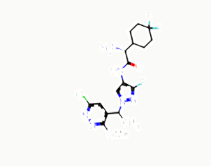 COc1nnc(Cl)cc1C(C)n1cc(NC(=O)[C@@H](N)C2CCC(F)(F)CC2)c(F)n1